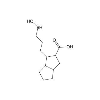 O=C(O)C1CC2CCCC2C1CCCBO